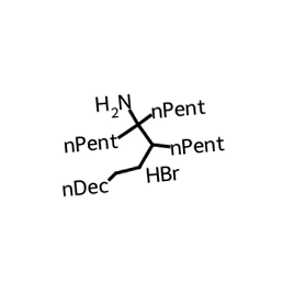 Br.CCCCCCCCCCCCC(CCCCC)C(N)(CCCCC)CCCCC